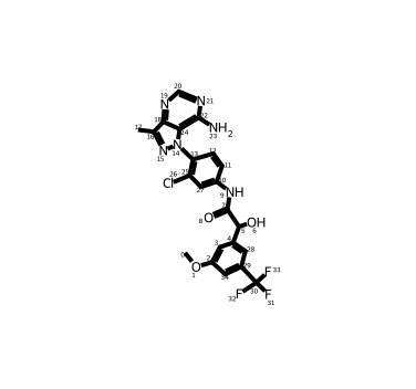 COc1cc(C(O)C(=O)Nc2ccc(-n3nc(C)c4ncnc(N)c43)c(Cl)c2)cc(C(F)(F)F)c1